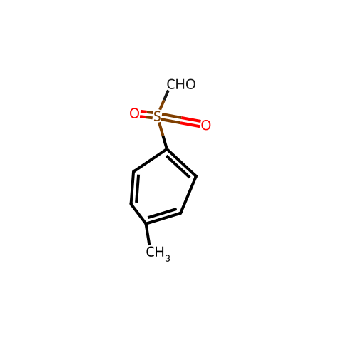 Cc1ccc(S(=O)(=O)C=O)cc1